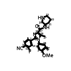 COc1ccc(-n2c(-c3ccc(C#N)c(F)c3)nc(C(=O)N[C@@H]3CCCNC3)c2C)cc1F